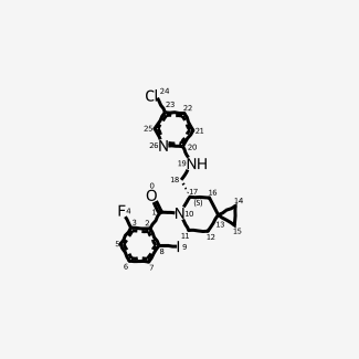 O=C(c1c(F)cccc1I)N1CCC2(CC2)C[C@H]1CNc1ccc(Cl)cn1